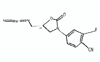 N#Cc1ccc(N2C[C@H](CN=[N+]=[N-])OC2=O)cc1F